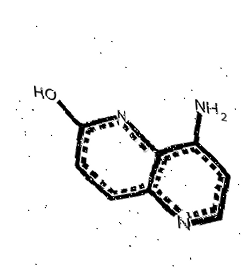 Nc1ccnc2ccc(O)nc12